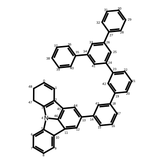 C1=Cc2c(n3c4ccccc4c4cc(-c5cccc(-c6cccc(-c7cc(-c8ccccc8)cc(-c8ccccc8)c7)c6)c5)cc2c43)CC1